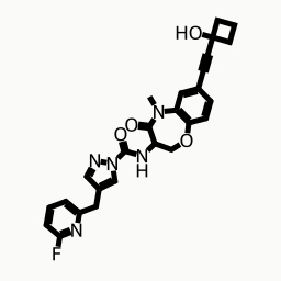 CN1C(=O)C(NC(=O)n2cc(Cc3cccc(F)n3)cn2)COc2ccc(C#CC3(O)CCC3)cc21